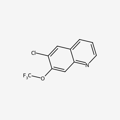 FC(F)(F)Oc1cc2ncccc2cc1Cl